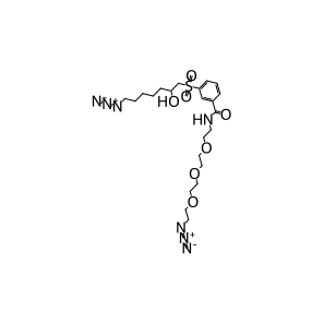 [N-]=[N+]=NCCCCCC(O)CS(=O)(=O)c1cccc(C(=O)NCCOCCOCCOCCN=[N+]=[N-])c1